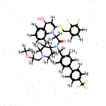 [2H]C1=C(SCc2c([2H])c([2H])c([2H])c(F)c2F)N(C([2H])([2H])C(=O)N(C([2H])([2H])c2c([2H])c([2H])c(-c3c([2H])c([2H])c(C(F)(F)F)c([2H])c3[2H])c([2H])c2C)C2([2H])C([2H])([2H])C([2H])([2H])N(CC([2H])([2H])OC([2H])([2H])[2H])C([2H])([2H])C2([2H])[2H])c2c([2H])c([2H])c([2H])c([2H])c2C1O